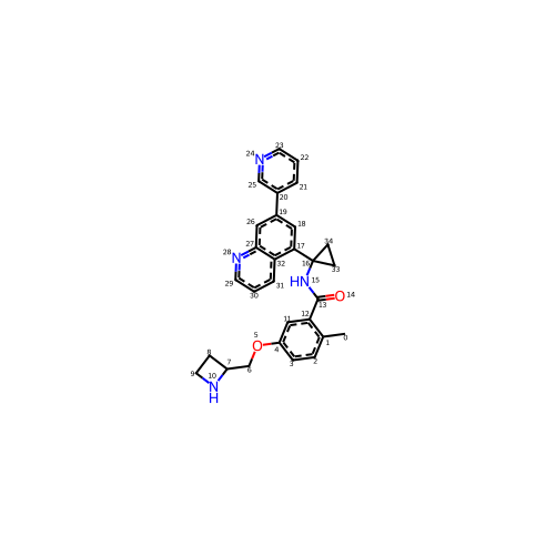 Cc1ccc(OCC2CCN2)cc1C(=O)NC1(c2cc(-c3cccnc3)cc3ncccc23)CC1